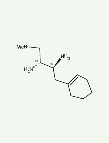 CNC[C@@H](N)[C@@H](N)CC1=CCCCC1